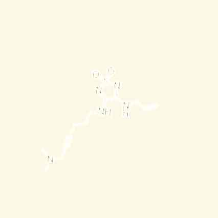 C=CCNC1=NS(=O)(=O)N=C1NCCCC#CCN(C)C